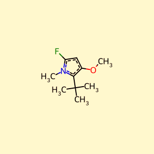 COc1cc(F)n(C)c1C(C)(C)C